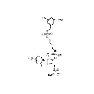 CCc1cc(CO)cc(COP(=O)(O)OCCCCOP(=O)(O)OC2C(COP(=O)(O)OC)OC(N3CCC(N)=NC3=O)C2O)c1